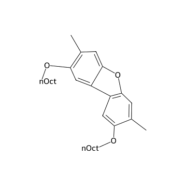 CCCCCCCCOc1cc2c(cc1C)oc1cc(C)c(OCCCCCCCC)cc12